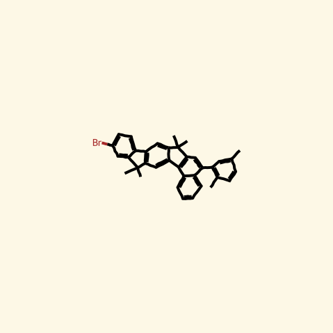 Cc1ccc(C)c(-c2cc3c(c4ccccc24)-c2cc4c(cc2C3(C)C)-c2ccc(Br)cc2C4(C)C)c1